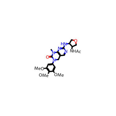 COc1cc(N2Cc3cnc(NC4COCC4NC(C)=O)nc3N(C)C2=O)cc(OC)c1OC